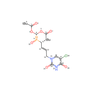 CC(C)(C)C(=O)OC(OC(=O)C(C)(C)C)[PH](=O)CC=CCn1cc(Cl)c(=O)[nH]c1=O